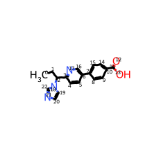 CCC(c1ccc(-c2ccc(C(=O)O)cc2)cn1)n1ccnc1